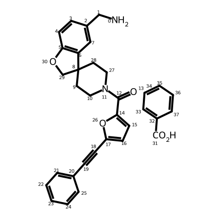 NCc1ccc2c(c1)C1(CCN(C(=O)c3ccc(C#Cc4ccccc4)o3)CC1)CO2.O=C(O)c1ccccc1